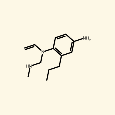 C=CN(CNC)c1ccc(N)cc1CCC